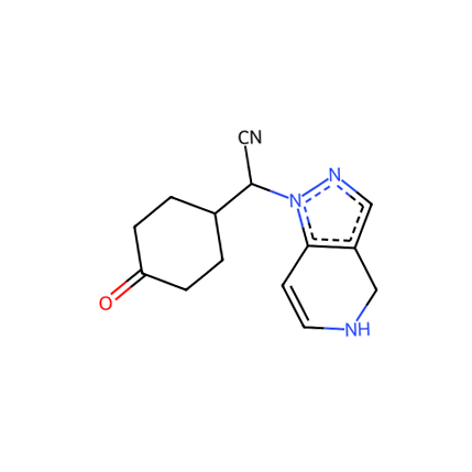 N#CC(C1CCC(=O)CC1)n1ncc2c1C=CNC2